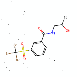 CCC(O)CNC(=O)c1cccc(S(=O)(=O)C(Br)(Br)Br)c1